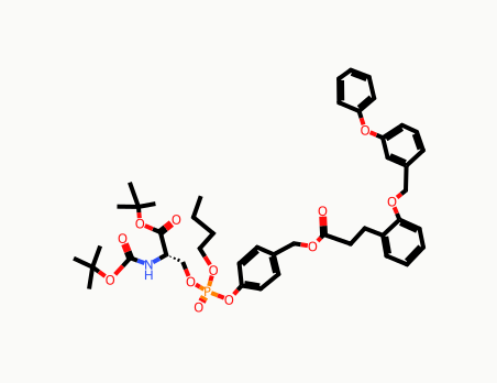 CCCCOP(=O)(OC[C@H](NC(=O)OC(C)(C)C)C(=O)OC(C)(C)C)Oc1ccc(COC(=O)CCc2ccccc2OCc2cccc(Oc3ccccc3)c2)cc1